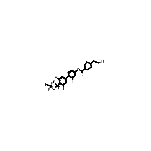 CCCC1CCC(C(=O)Oc2ccc(-c3cc(F)c(C(F)(F)OC(F)(F)F)c(F)c3)c(F)c2)CC1